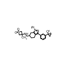 CC(C)n1nc(-c2cccc(C3(C(F)(F)F)CC3)c2)c2c1CC(CNC1(C)CS(=O)(=O)C1)CC2